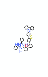 c1ccc(C2NC(c3ccccc3)NC(c3cccc4c3oc3c(-c5ccc6c(c5)sc5cc(-n7c8ccccc8c8ccccc87)ccc56)cccc34)N2)cc1